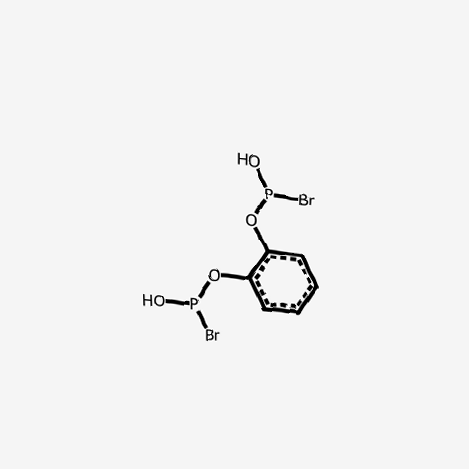 OP(Br)Oc1ccccc1OP(O)Br